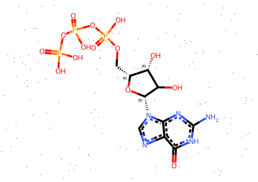 Nc1nc2c(ncn2[C@@H]2O[C@H](COP(=O)(O)OP(=O)(O)OP(=O)(O)O)[C@H](O)C2O)c(=O)[nH]1